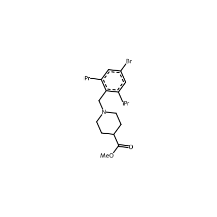 COC(=O)C1CCN(Cc2c(C(C)C)cc(Br)cc2C(C)C)CC1